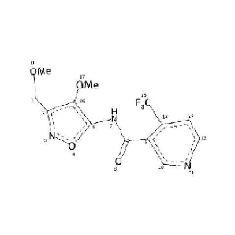 COCc1noc(NC(=O)c2cnccc2C(F)(F)F)c1OC